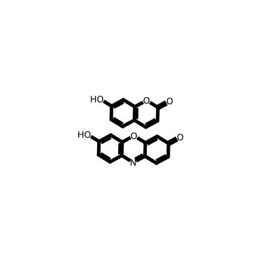 O=c1ccc2ccc(O)cc2o1.O=c1ccc2nc3ccc(O)cc3oc-2c1